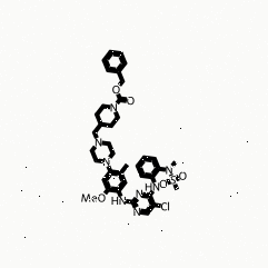 COc1cc(N2CCN(CC3CCN(C(=O)OCc4ccccc4)CC3)CC2)c(C)cc1Nc1ncc(Cl)c(Nc2ccccc2N(C)S(C)(=O)=O)n1